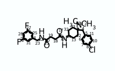 CN(C)C1(Cc2ccc(Cl)cc2)CCC(NC(=O)CCC(=O)NCc2cc(F)cc(F)c2)CC1